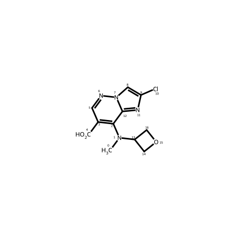 CN(c1c(C(=O)O)cnn2cc(Cl)nc12)C1COC1